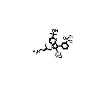 Cc1c(-c2cccc(S(=O)(=O)C(C)C)c2)c2nc(C(C)(C)O)ccc2n1C/C(F)=C/CN.Cl.Cl